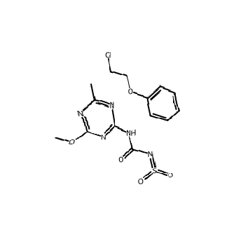 COc1nc(C)nc(NC(=O)N=S(=O)=O)n1.ClCCOc1ccccc1